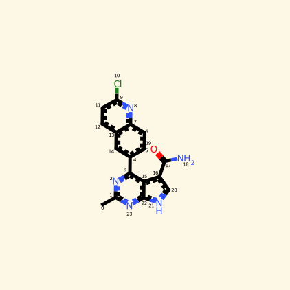 Cc1nc(-c2ccc3nc(Cl)ccc3c2)c2c(C(N)=O)c[nH]c2n1